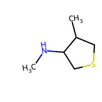 CNC1CSCC1C